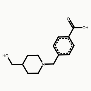 O=C(O)c1ccc(CN2CCC(CO)CC2)cc1